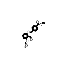 CCOC(=O)c1ccc(COc2cccc(OCOC)c2C=O)cc1